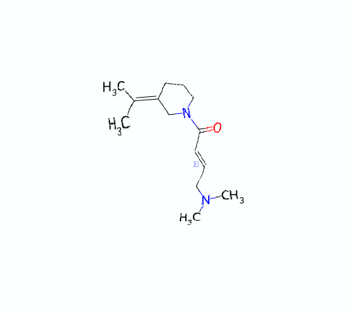 CC(C)=C1CCCN(C(=O)/C=C/CN(C)C)C1